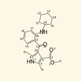 COC(=O)c1c(C)[nH]c(C)c1C(=O)c1ccccc1NC1CCCCC1